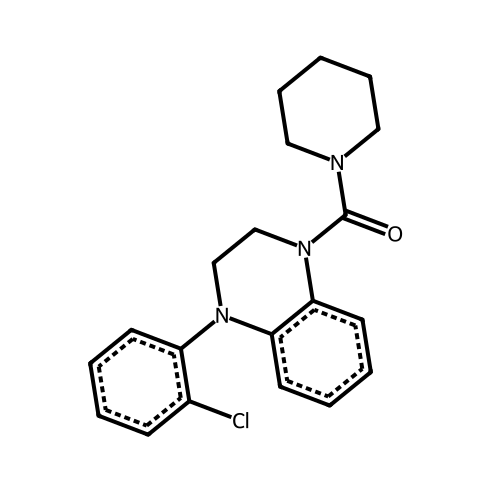 O=C(N1CCCCC1)N1CCN(c2ccccc2Cl)c2ccccc21